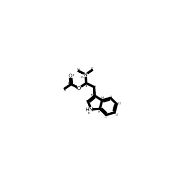 CC(=O)OC(Cc1c[nH]c2ccccc12)N(C)C